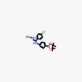 CC(C)NCC(Nc1ccc(B2OC(C)(C)C(C)(C)O2)cc1)c1ccc(Cl)cc1